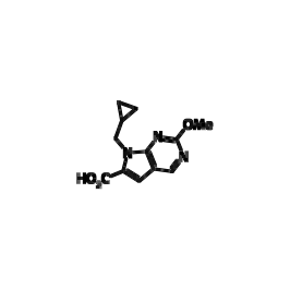 COc1ncc2cc(C(=O)O)n(CC3CC3)c2n1